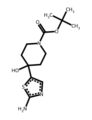 CC(C)(C)OC(=O)N1CCC(O)(c2cnc(N)s2)CC1